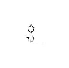 O=C(O)[C@H]1CN(c2ccc(C(F)(F)F)nc2)C(=O)N1